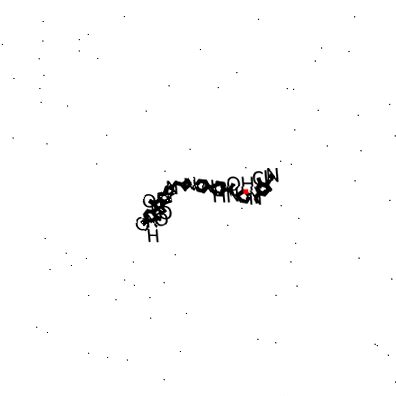 CN(c1ccc(C#N)c(Cl)c1)[C@H]1CC[C@H](NC(O)c2ccc(N3CCC(N4CC(CN5Cc6cc7c(cc6C5)C(=O)N(C5CCC(=O)NC5=O)C7=O)C4)CC3)cc2)CC1